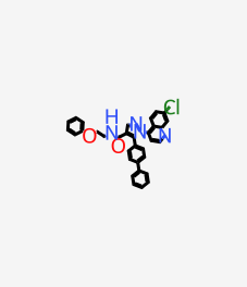 O=C(NCCOc1ccccc1)c1cnn(-c2ccnc3cc(Cl)ccc23)c1-c1ccc(-c2ccccc2)cc1